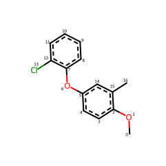 COc1ccc(Oc2ccccc2Cl)cc1C